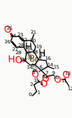 CCCC(=O)O[C@]1(C(=O)COC(C)=O)C(C)C[C@H]2[C@@H]3CC(C)C4=CC(=O)C=C[C@]4(C)[C@@]3(Br)C(O)C[C@@]21C